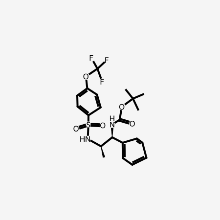 C[C@@H](NS(=O)(=O)c1ccc(OC(F)(F)F)cc1)[C@@H](NC(=O)OC(C)(C)C)c1ccccc1